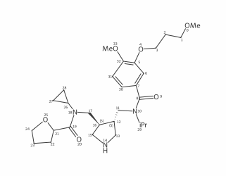 COCCCOc1cc(C(=O)N(C[C@@H]2CNC[C@H]2CN(C(=O)C2CCCO2)C2CC2)C(C)C)ccc1OC